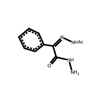 CC(=O)NN=C(C(=O)NN)c1ccccc1